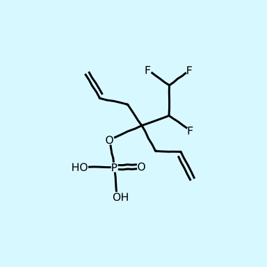 C=CCC(CC=C)(OP(=O)(O)O)C(F)C(F)F